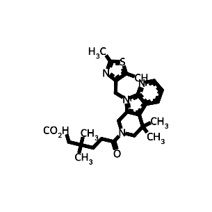 Cc1nc(Cn2c3c(c4cccnc42)C(C)(C)CN(C(=O)CCC(C)(C)CC(=O)O)C3)c(C)s1